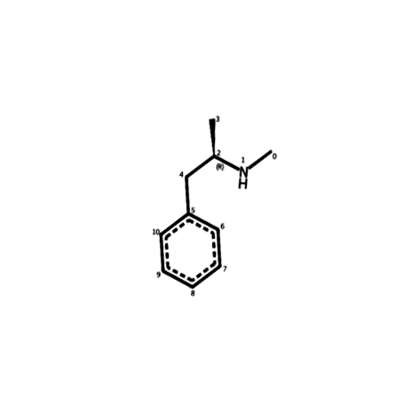 CN[C@H](C)Cc1ccccc1